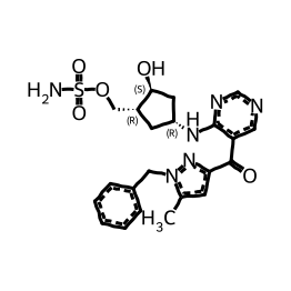 Cc1cc(C(=O)c2cncnc2N[C@@H]2C[C@H](COS(N)(=O)=O)[C@@H](O)C2)nn1Cc1ccccc1